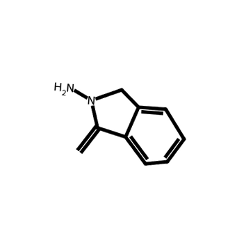 C=C1c2ccccc2CN1N